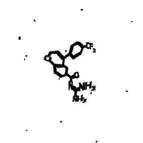 NC(N)=NC(=O)c1ccc2c(c1)C(c1ccc(C(F)(F)F)cc1)=CCO2